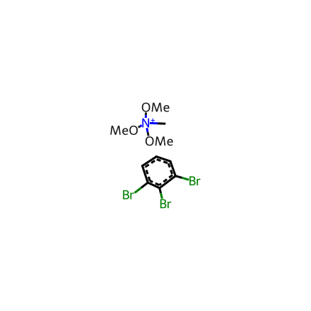 Brc1cccc(Br)c1Br.CO[N+](C)(OC)OC